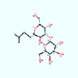 CC(C)CC[C@@H]1O[C@H](CO)[C@H](O)[C@H](O[C@H]2O[C@H](CO)[C@H](O)[C@H](O)[C@H]2O)[C@H]1O